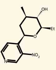 CC[C@H]1O[C@@H](c2ccncc2[N+](=O)[O-])C[C@@H](C)[C@@H]1O